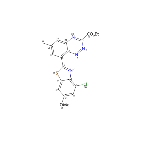 CCOC(=O)c1nnc2c(-c3nc4c(Cl)cc(OC)cc4s3)cc(C)cc2n1